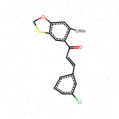 COc1cc2c(cc1C(=O)C=Cc1cccc(Cl)c1)SCO2